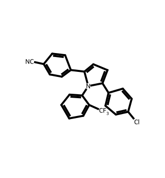 N#Cc1ccc(-c2ccc(-c3ccc(Cl)cc3)n2-c2ccccc2C(F)(F)F)cc1